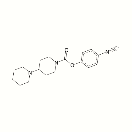 [C-]#[N+]c1ccc(OC(=O)N2CCC(N3CCCCC3)CC2)cc1